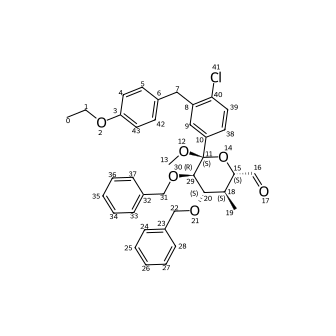 CCOc1ccc(Cc2cc([C@]3(OC)O[C@H](C=O)[C@@H](C)[C@H](OCc4ccccc4)[C@H]3OCc3ccccc3)ccc2Cl)cc1